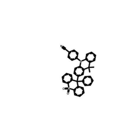 CC1(C)c2ccccc2N(c2ccc(C#N)cc2)c2ccc(C3(c4ccccc4)c4ccccc4S(=O)(=O)c4ccccc43)cc21